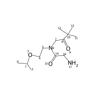 CC(C)OCCN(CC(=O)C(C)(C)C)C(=O)CN